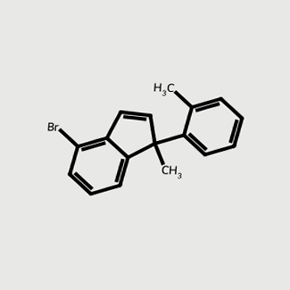 Cc1ccccc1C1(C)C=Cc2c(Br)cccc21